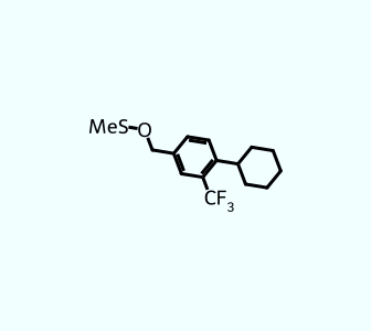 CSOCc1ccc(C2CCCCC2)c(C(F)(F)F)c1